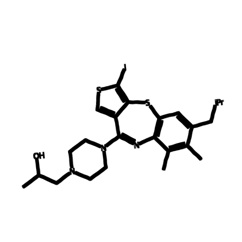 Cc1c(CC(C)C)cc2c(c1C)N=C(N1CCN(CC(C)O)CC1)c1csc(I)c1S2